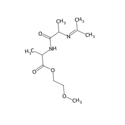 COCCOC(=O)C(C)NC(=O)C(C)N=C(C)C